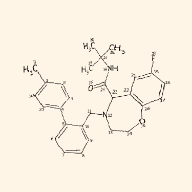 Cc1ccc(-c2ccccc2CN2CCOc3ccc(F)cc3C2C(=O)NC(C)(C)C)cc1